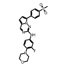 CS(=O)(=O)c1ccc(-c2ccc3cnc(Nc4ccc(N5CCOCC5)c(F)c4)nn23)cc1